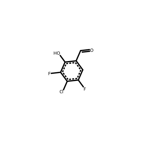 O=Cc1cc(F)c(Cl)c(F)c1O